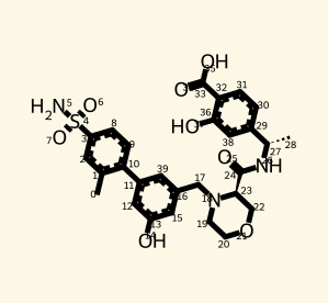 Cc1cc(S(N)(=O)=O)ccc1-c1cc(O)cc(CN2CCOC[C@@H]2C(=O)N[C@@H](C)c2ccc(C(=O)O)c(O)c2)c1